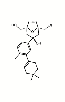 Cc1ccc([C@]2(O)C[C@@]3(CO)C=C[C@@](CO)(C2)O3)cc1C1=CCC(C)(C)CC1